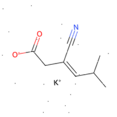 CC(C)/C=C(\C#N)CC(=O)[O-].[K+]